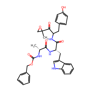 C[C@@H](NC(=O)OCc1ccccc1)C(=O)N[C@@H](Cc1c[nH]c2ccccc12)C(=O)NC(Cc1ccc(O)cc1)C(=O)C1(C)CO1